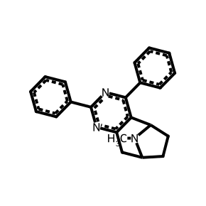 CN1C2CCC1c1c(nc(-c3ccccc3)nc1-c1ccccc1)C2